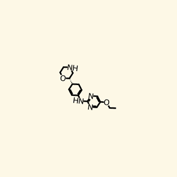 CCOc1cnc(NC2=CCC([C@H]3CNCCO3)C=C2)nc1